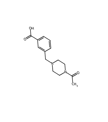 CC(=O)N1CCN(Cc2cccc(C(=O)O)c2)CC1